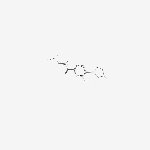 CN(C)C=C(F)C(=O)c1ccc(N2CCC(F)C2)c(C#N)n1